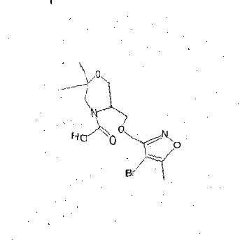 Cc1onc(OCC2COC(C)(C)CN2C(=O)O)c1Br